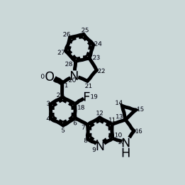 O=C(c1cccc(-c2cnc3c(c2)C2(CC2)CN3)c1F)N1CCc2ccccc21